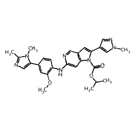 COc1cc(-c2cnc(C)n2C)ccc1Nc1cc2c(cn1)cc(-c1cnn(C)c1)n2C(=O)OC(C)C